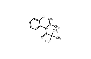 CN(C)[C@@H](C(=O)C(C)(C)C)c1ccccc1Cl